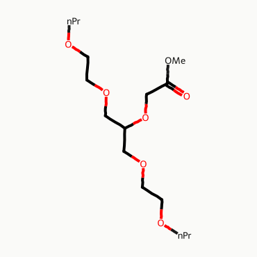 CCCOCCOCC(COCCOCCC)OCC(=O)OC